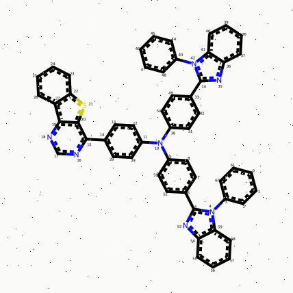 c1ccc(-n2c(-c3ccc(N(c4ccc(-c5ncnc6c5sc5ccccc56)cc4)c4ccc(-c5nc6ccccc6n5-c5ccccc5)cc4)cc3)nc3ccccc32)cc1